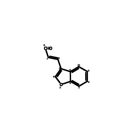 O=C/C=C/c1coc2ccccc12